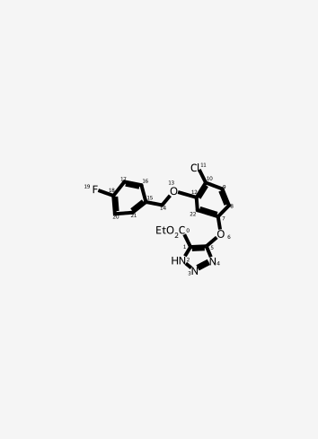 CCOC(=O)c1[nH]nnc1Oc1ccc(Cl)c(OCc2ccc(F)cc2)c1